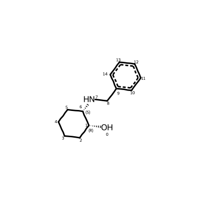 O[C@@H]1CCCC[C@@H]1NCc1ccccc1